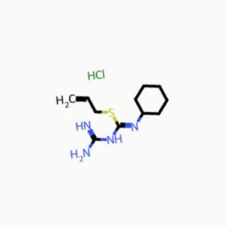 C=CCSC(=NC1CCCCC1)NC(=N)N.Cl